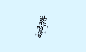 Cc1cn2nc(-c3cc(F)c4nc(NC(=O)CC5CCCN5)cn4c3)cc(C)c2n1